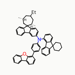 CCC1C[C@@H](C)C[C@@]2(c3ccccc3-c3cc(N(c4ccc(-c5cccc6c5oc5ccccc56)cc4)c4cccc5c4-c4ccccc4C54CCCCC4)ccc32)[C@@H](C)C1